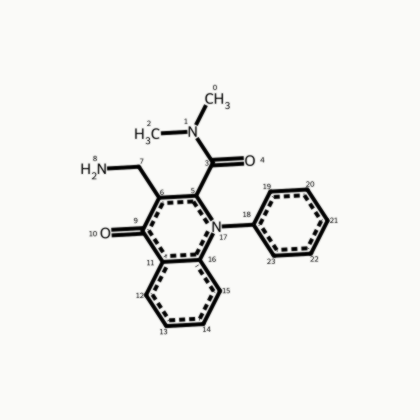 CN(C)C(=O)c1c(CN)c(=O)c2ccccc2n1-c1ccccc1